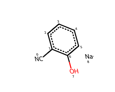 N#Cc1ccccc1O.[Na]